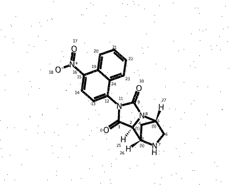 O=C1[C@@H]2[C@@H]3C[C@@H](CN3)N2C(=O)N1c1ccc([N+](=O)[O-])c2ccccc12